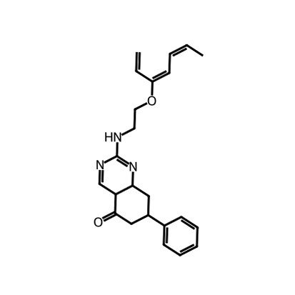 C=C/C(=C\C=C/C)OCCNC1=NC2CC(c3ccccc3)CC(=O)C2C=N1